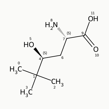 CC(C)(C)[C@@H](O)C[C@H](N)C(=O)O